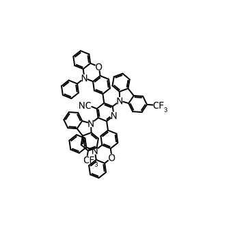 N#Cc1c(-c2ccc3c(c2)N(c2ccccc2)c2ccccc2O3)c(-n2c3ccccc3c3cc(C(F)(F)F)ccc32)nc(-c2ccc3c(c2)N(c2ccccc2)c2ccccc2O3)c1-n1c2ccccc2c2cc(C(F)(F)F)ccc21